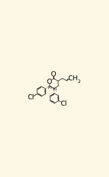 C=CCC1C[C@H](c2cccc(Cl)c2)[C@H](c2ccc(Cl)cc2)OC1=O